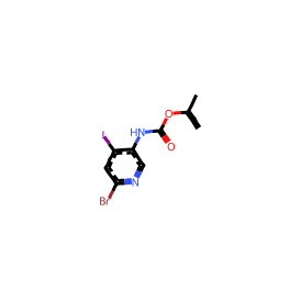 C=C(C)OC(=O)Nc1cnc(Br)cc1I